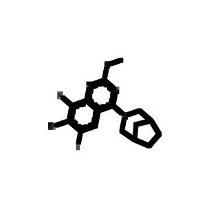 CSc1nc(N2CC3CCC(C3)C2)c2cc(I)c(Br)c(F)c2n1